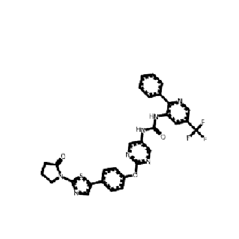 O=C(Nc1cnc(Oc2ccc(-c3cnc(N4CCCC4=O)s3)cc2)nc1)Nc1cc(C(F)(F)F)cnc1-c1ccccc1